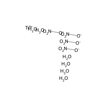 O.O.O.O.O.O.O=[N+]([O-])[O-].O=[N+]([O-])[O-].O=[N+]([O-])[O-].O=[N+]([O-])[O-].[Ti+4]